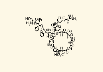 CC[C@H](C)[C@@H]1NC(=O)NC(=O)NC(=O)[C@H](C)NC(=O)[C@@H](CC(=O)O)NC(=O)[C@@H]2CCCN2C(=O)[C@H]([C@@H](C)CC)NC(=O)[C@@H](NC(=O)[C@@H](NC(=O)[C@@H]2CCCN2C(=O)[C@@H]2CCCN2C(=O)[C@H](CC(C)C)NC(=O)[C@@H](N)CO)[C@@H](C)CC)SS[C@@H](C(=O)N[C@@H](CO)C(=O)N/C(=C/C=O)CCCCNC(=N)N)NC1=O